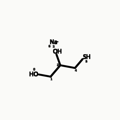 OCC(O)CS.[Na]